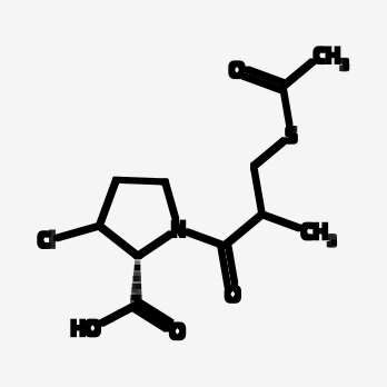 CC(=O)SCC(C)C(=O)N1CCC(Cl)[C@H]1C(=O)O